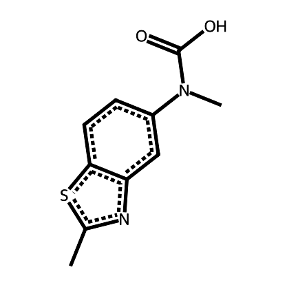 Cc1nc2cc(N(C)C(=O)O)ccc2s1